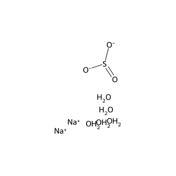 O.O.O.O.O.O=S([O-])[O-].[Na+].[Na+]